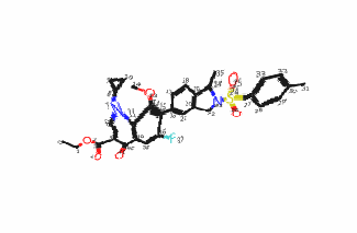 CCOC(=O)c1cn(C2CC2)c2c(OC)c(-c3ccc4c(c3)CN(S(=O)(=O)c3ccc(C)cc3)C4C)c(F)cc2c1=O